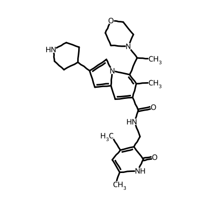 Cc1cc(C)c(CNC(=O)c2cc3cc(C4CCNCC4)cn3c(C(C)N3CCOCC3)c2C)c(=O)[nH]1